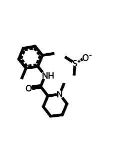 C[S+](C)[O-].Cc1cccc(C)c1NC(=O)C1CCCCN1C